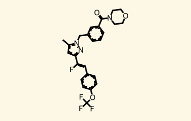 Cc1cc(/C(F)=C/c2ccc(OC(F)(F)F)cc2)nn1Cc1cccc(C(=O)N2CCOCC2)c1